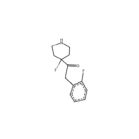 O=C(Cc1ccccc1F)C1(F)CCNCC1